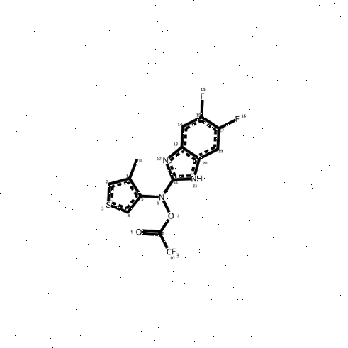 Cc1cscc1N(OC(=O)C(F)(F)F)c1nc2cc(F)c(F)cc2[nH]1